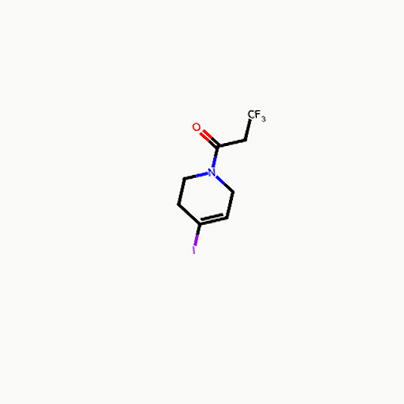 O=C(CC(F)(F)F)N1CC=C(I)CC1